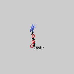 COC(=O)COCCOCCN=[N+]=[N-]